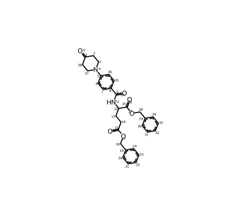 O=C1CCN(c2ccc(C(=O)NC(CCC(=O)OCc3ccccc3)C(=O)OCc3ccccc3)cc2)CC1